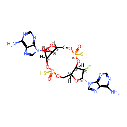 Nc1ncnc2c1ncn2[C@@H]1O[C@@H]2COP(=O)(S)O[C@@H]3[C@H](O)[C@@H](CO[P@@](=O)(S)O[C@H]2[C@H]1F)O[C@H]3n1cnc2c(N)ncnc21